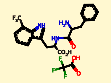 NC(Cc1ccccc1)C(=O)NC(Cc1c[nH]c2c(C(F)(F)F)cccc12)C(=O)O.O=C(O)C(F)(F)F